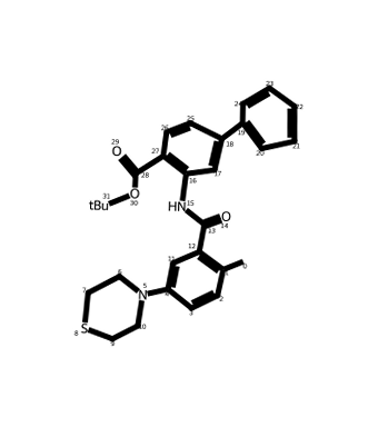 Cc1ccc(N2CCSCC2)cc1C(=O)Nc1cc(-c2ccccc2)ccc1C(=O)OC(C)(C)C